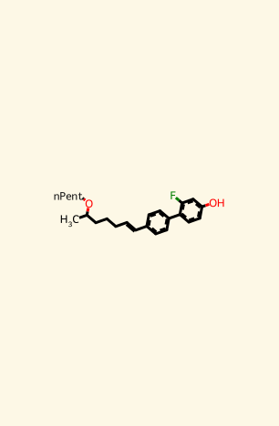 CCCCCOC(C)CCC/C=C/c1ccc(-c2ccc(O)cc2F)cc1